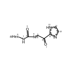 CCCCCCNC(=O)NCC(=O)c1ncc[nH]1